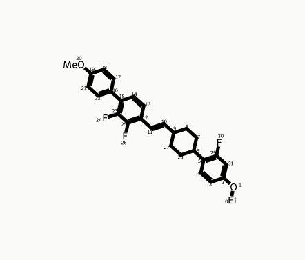 CCOc1ccc(C2CCC(/C=C/c3ccc(-c4ccc(OC)cc4)c(F)c3F)CC2)c(F)c1